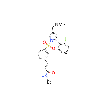 CCNC(=O)/C=C/c1cccc(S(=O)(=O)n2cc(CNC)cc2-c2ccccc2F)c1